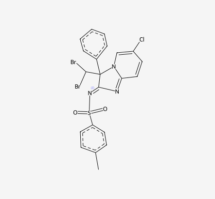 Cc1ccc(S(=O)(=O)/N=C2\N=C3C=CC(Cl)=CN3C2(c2ccccc2)C(Br)Br)cc1